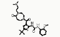 COc1ccccc1NC(=O)Nc1sc(C(C)(C)C)cc1C(=O)N1CCC(=O)N(CCN(C)C)CC1